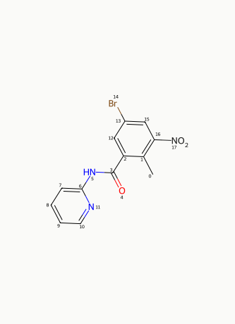 Cc1c(C(=O)Nc2ccccn2)cc(Br)cc1[N+](=O)[O-]